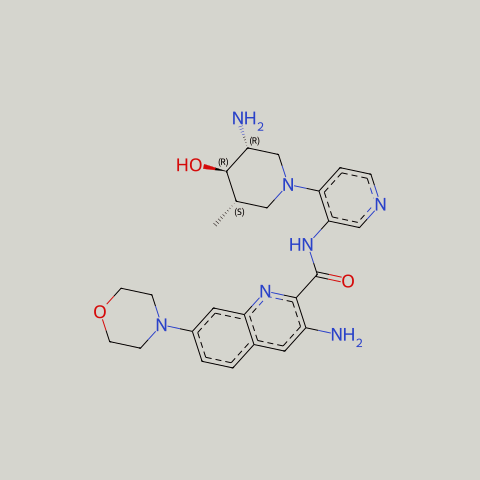 C[C@H]1CN(c2ccncc2NC(=O)c2nc3cc(N4CCOCC4)ccc3cc2N)C[C@@H](N)[C@@H]1O